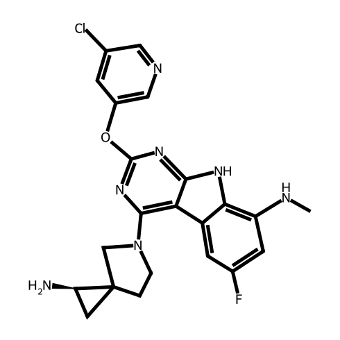 CNc1cc(F)cc2c1[nH]c1nc(Oc3cncc(Cl)c3)nc(N3CCC4(C[C@H]4N)C3)c12